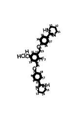 Cl.Cl.Fc1c(COc2ccc(C3=NCCCN3)cc2)cccc1COc1ccc(C2=NCCCN2)cc1